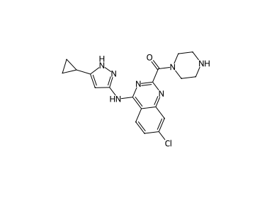 O=C(c1nc(Nc2cc(C3CC3)[nH]n2)c2ccc(Cl)cc2n1)N1CCNCC1